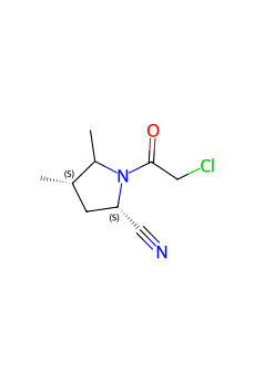 CC1[C@@H](C)C[C@@H](C#N)N1C(=O)CCl